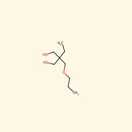 CC[CH]OCC(CC)(CO)CO